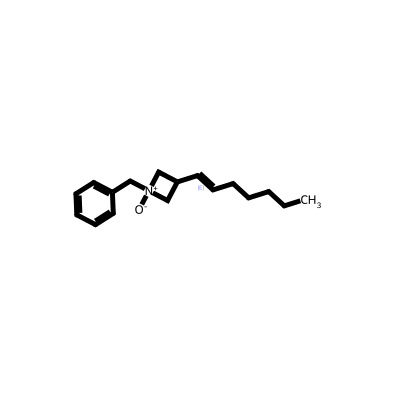 CCCCC/C=C/C1C[N+]([O-])(Cc2ccccc2)C1